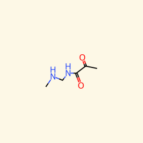 CNCNC(=O)C(C)=O